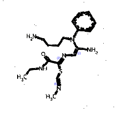 CCNC(=O)/C(=N/C=C(/N)N(CCCCN)c1ccccc1)S/C=N/C